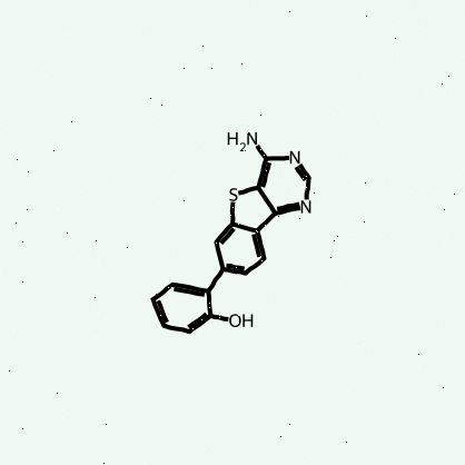 Nc1ncnc2c1sc1cc(-c3ccccc3O)ccc12